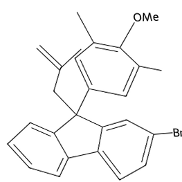 C=C(C)CC1(c2cc(C)c(OC)c(C)c2)c2ccccc2-c2ccc(Br)cc21